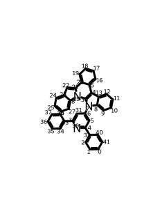 c1ccc(-c2cc(-n3c4ccccc4c4c5ccccc5c5cc6ccccc6n5c43)cc(-c3ccccc3)n2)cc1